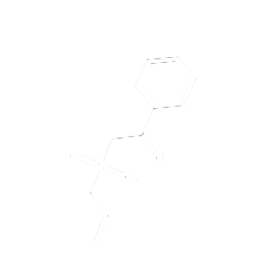 C=CCS(=O)(=O)CC(=O)c1ccccc1